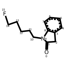 O=C1Cc2ccccc2N1CCCCCF